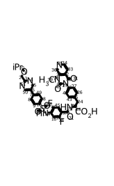 CC(C)OCc1ncc(-c2ccc(S(=O)(=O)Nc3cc(F)c(C(=O)N[C@@H](Cc4ccc(-n5c(=O)c6ccncc6n(C)c5=O)cc4)C(=O)O)cc3F)cc2)cn1